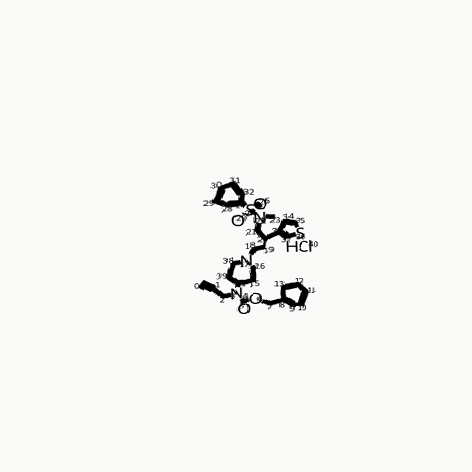 C#CCN(C(=O)OCc1ccccc1)C1CCN(CC[C@@H](CN(C)S(=O)(=O)c2ccccc2)c2ccsc2)CC1.Cl